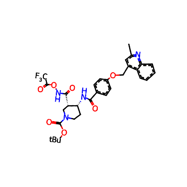 Cc1cc(COc2ccc(C(=O)N[C@@H]3CCN(C(=O)OC(C)(C)C)C[C@@H]3C(=O)NOC(=O)C(F)(F)F)cc2)c2ccccc2n1